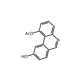 CC(=O)Oc1cccc2ncc3ccc(O)cc3c12